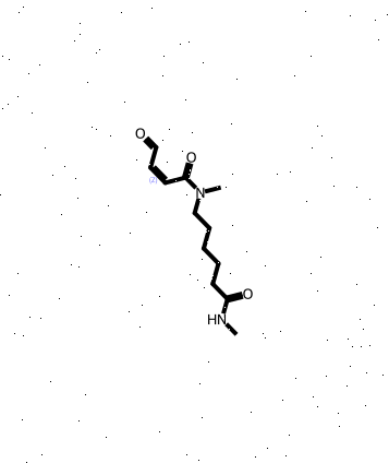 CNC(=O)CCCCCN(C)C(=O)/C=C\C=O